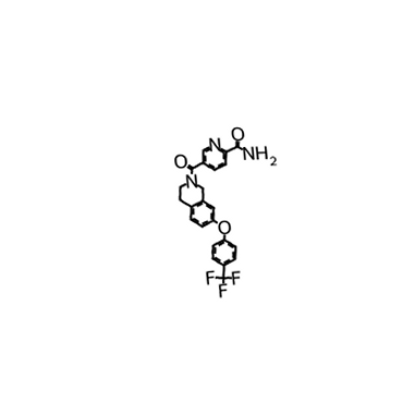 NC(=O)c1ccc(C(=O)N2CCc3ccc(Oc4ccc(C(F)(F)F)cc4)cc3C2)cn1